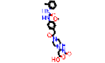 COc1cc(CC(=O)N2CCN(C(CC(=O)O)NC=O)CC2)ccc1NC(=O)Nc1ccccc1C